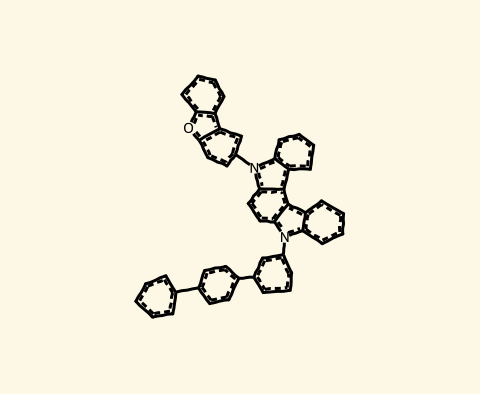 c1ccc(-c2ccc(-c3cccc(-n4c5ccccc5c5c6c7ccccc7n(-c7ccc8oc9ccccc9c8c7)c6ccc54)c3)cc2)cc1